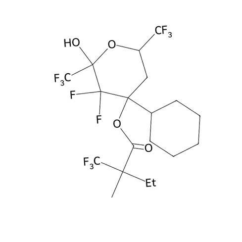 CCC(C)(C(=O)OC1(C2CCCCC2)CC(C(F)(F)F)OC(O)(C(F)(F)F)C1(F)F)C(F)(F)F